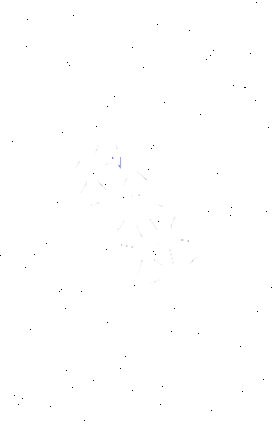 c1cc(-c2ccc3c(c2)C2(c4ccccc4-c4ccccc42)c2ccccc2-3)cc(-c2cccc3ccc4cccnc4c23)c1